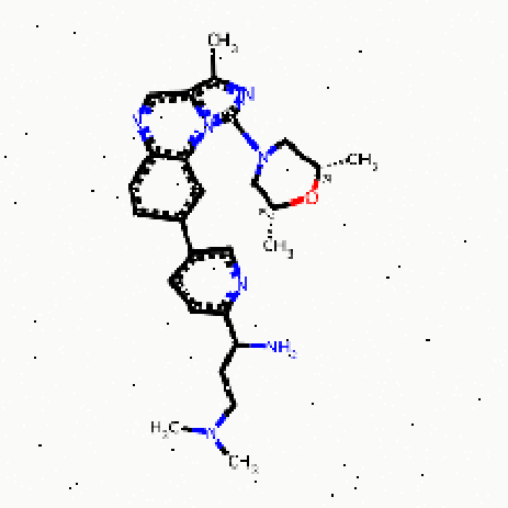 Cc1nc(N2C[C@@H](C)O[C@@H](C)C2)n2c1cnc1ccc(-c3ccc(C(N)CCN(C)C)nc3)cc12